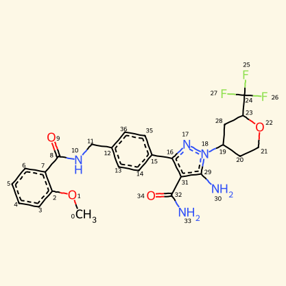 COc1ccccc1C(=O)NCc1ccc(-c2nn(C3CCOC(C(F)(F)F)C3)c(N)c2C(N)=O)cc1